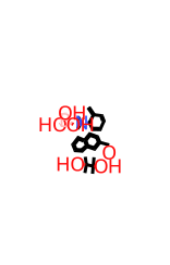 C=C1C=CC=CC1N(C)C.CC(C)(O)C(C)(C)O.O=Cc1ccc2ccccc2c1.OB(O)O